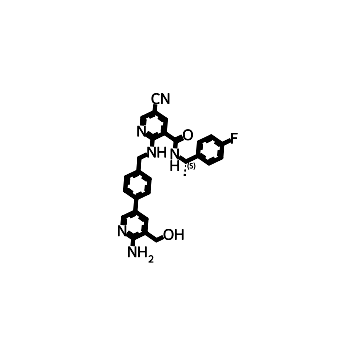 C[C@H](NC(=O)c1cc(C#N)cnc1NCc1ccc(-c2cnc(N)c(CO)c2)cc1)c1ccc(F)cc1